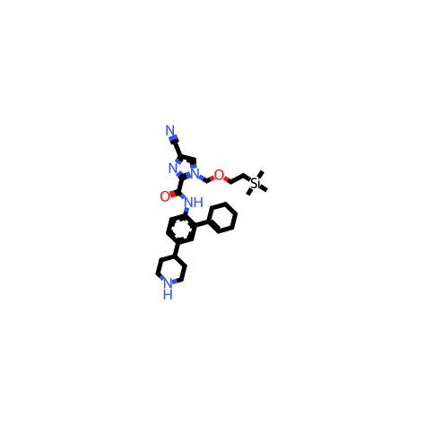 C[Si](C)(C)CCOCn1cc(C#N)nc1C(=O)Nc1ccc(C2CCNCC2)cc1C1=CCCCC1